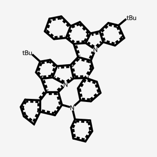 CC(C)(C)c1ccc2c(c1)c1cc3ccccc3c3c4c5c6cc(C(C)(C)C)cc7c8c9ccccc9cc(N(c9ccccc9)c9ccccc9)c8n(c5ncc4n2c13)c67